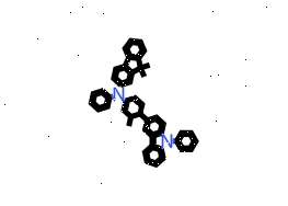 CC1C=C(N(c2ccccc2)c2ccc3c(c2)C(C)(C)c2ccccc2-3)C=CC1c1ccc2c(c1)c1ccccc1n2-c1ccccc1